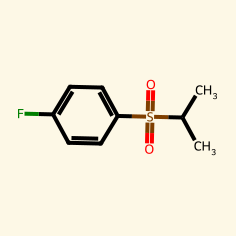 CC(C)S(=O)(=O)c1ccc(F)cc1